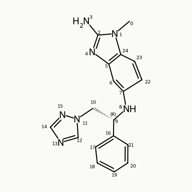 Cn1c(N)nc2cc(N[C@@H](Cn3cncn3)c3ccccc3)ccc21